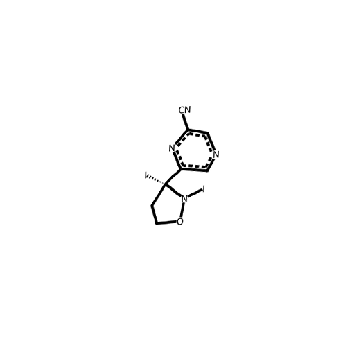 N#Cc1cncc([C@]2(I)CCON2I)n1